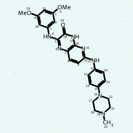 COc1cc(Nc2nc3ccc(Nc4ccc(N5CCN(C)CC5)cc4)nc3[nH]c2=O)cc(OC)c1